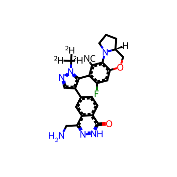 [2H]C([2H])([2H])n1ncc(-c2ccc3c(=O)[nH]nc(CN)c3c2)c1-c1c(F)cc2c(c1C#N)N1CCC[C@@H]1CO2